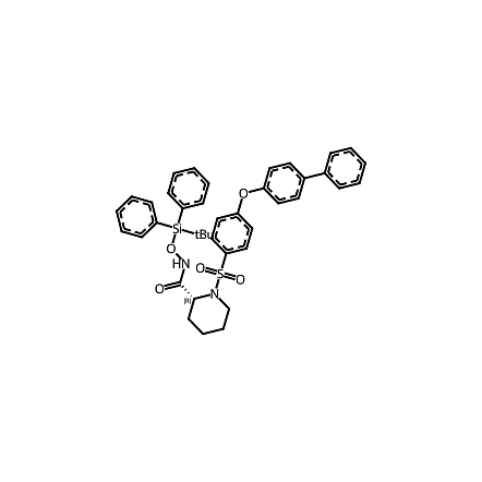 CC(C)(C)[Si](ONC(=O)[C@H]1CCCCN1S(=O)(=O)c1ccc(Oc2ccc(-c3ccccc3)cc2)cc1)(c1ccccc1)c1ccccc1